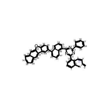 C=C/C=C\c1c(C)cccc1-c1nc(-c2ccccc2)nc(-c2cccc3c(-c4ccc5oc6cc7ccccc7cc6c5c4)cccc23)n1